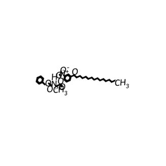 CCCCCCCCCCCCCCCC(=O)c1ccc(OC(=O)[C@H](C)NC(=O)OCc2ccccc2)c([N+](=O)[O-])c1